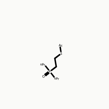 CCCP(=O)(CCC)CCSC(C)=O